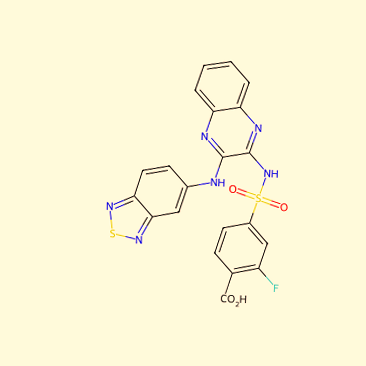 O=C(O)c1ccc(S(=O)(=O)Nc2nc3ccccc3nc2Nc2ccc3nsnc3c2)cc1F